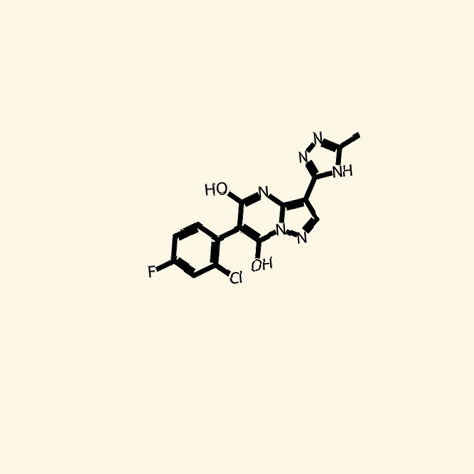 Cc1nnc(-c2cnn3c(O)c(-c4ccc(F)cc4Cl)c(O)nc23)[nH]1